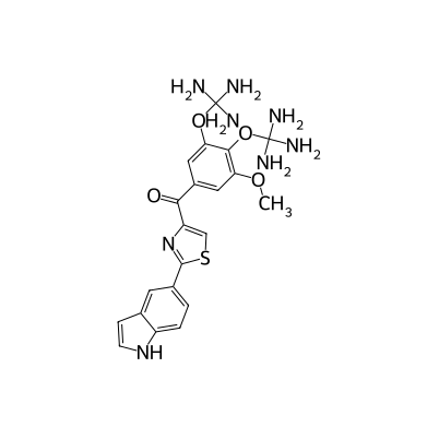 COc1cc(C(=O)c2csc(-c3ccc4[nH]ccc4c3)n2)cc(OC(N)(N)N)c1OC(N)(N)N